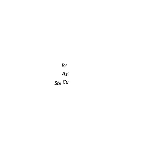 [As].[Bi].[Cu].[Sb]